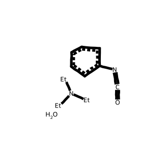 CCN(CC)CC.O.O=C=Nc1ccccc1